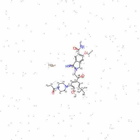 Br.CCOc1cc2c(cc1C(=O)NC)C(=N)N(CC(=O)c1cc(N3CCN(C(=O)CC)CC3)c(OC)c(C(C)(C)C)c1)C2